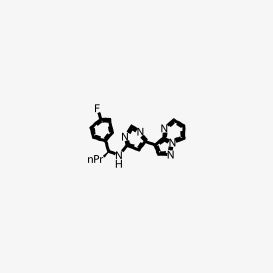 CCC[C@H](Nc1cc(-c2cnn3cccnc23)ncn1)c1ccc(F)cc1